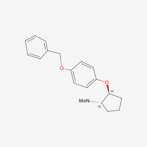 CN[C@H]1CCC[C@@H]1Oc1ccc(OCc2ccccc2)cc1